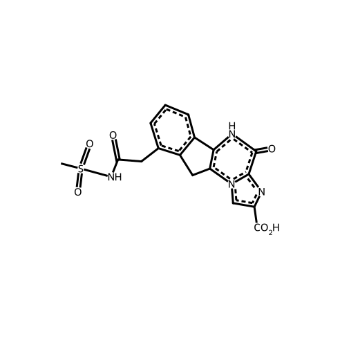 CS(=O)(=O)NC(=O)Cc1cccc2c1Cc1c-2[nH]c(=O)c2nc(C(=O)O)cn12